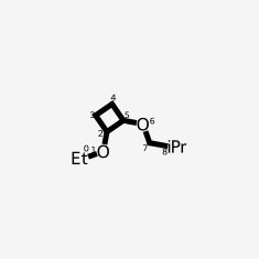 CCOC1CCC1OCC(C)C